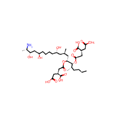 CCCC[C@H](C)[C@@H](OC(=O)C[C@H](CC(=O)O)C(=O)O)[C@@H](C[C@H](C)C[C@@H](O)CCCC[C@@H](O)C[C@H](O)[C@H](C)N)OC(=O)C[C@H](CC(=O)O)C(=O)O